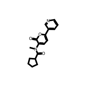 CN(C(=O)C1CCCC1)c1ccc(-c2cccnc2)oc1=O